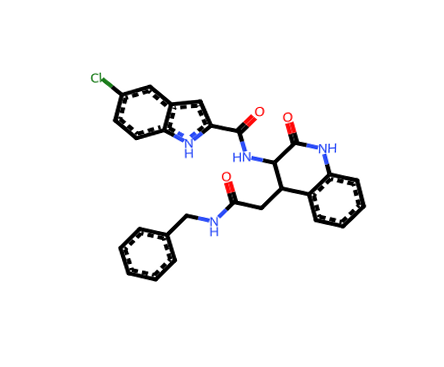 O=C(CC1c2ccccc2NC(=O)C1NC(=O)c1cc2cc(Cl)ccc2[nH]1)NCc1ccccc1